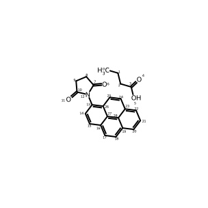 CCCC(=O)O.O=C1CCC(=O)N1c1ccc2ccc3cccc4ccc1c2c34